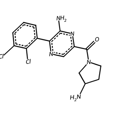 Nc1nc(C(=O)N2CCC(N)C2)cnc1-c1cccc(Cl)c1Cl